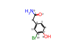 NC(=O)Cc1ccc(O)c(Br)c1